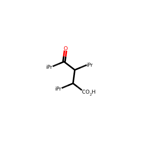 CC(C)C(=O)C(C(C)C)C(C(=O)O)C(C)C